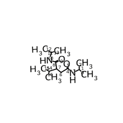 CC(C)NC(=O)CC(C(=O)NC(C)C)C(C)C